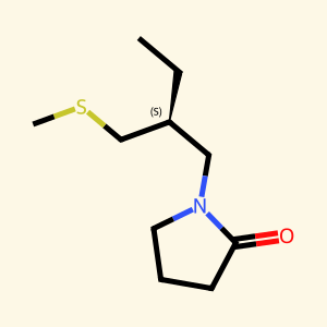 CC[C@H](CSC)CN1CCCC1=O